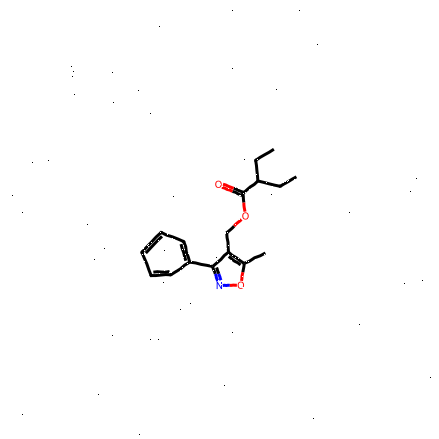 CCC(CC)C(=O)OCc1c(-c2ccccc2)noc1C